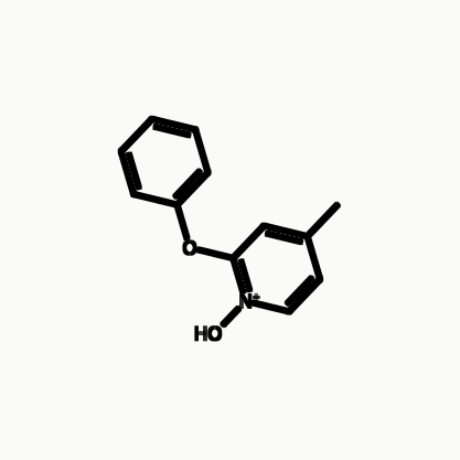 Cc1cc[n+](O)c(Oc2ccccc2)c1